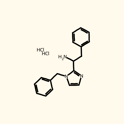 Cl.Cl.NC(Cc1ccccc1)c1nccn1Cc1ccccc1